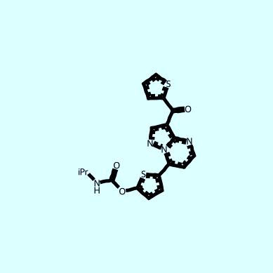 CC(C)NC(=O)Oc1ccc(-c2ccnc3c(C(=O)c4cccs4)cnn23)s1